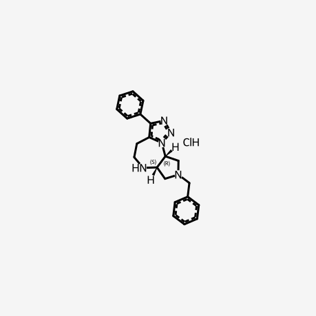 Cl.c1ccc(CN2C[C@@H]3NCCc4c(-c5ccccc5)nnn4[C@@H]3C2)cc1